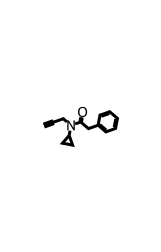 C#CCN(C(=O)Cc1ccccc1)C1CC1